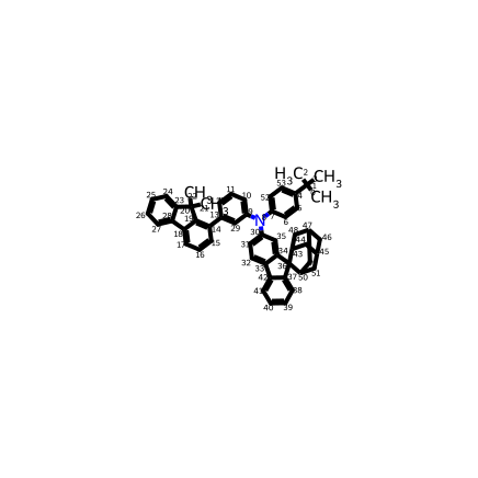 CC(C)(C)c1ccc(N(c2cccc(-c3cccc4c3C(C)(C)c3ccccc3-4)c2)c2ccc3c(c2)C2(c4ccccc4-3)C3CC4CC(C3)CC2C4)cc1